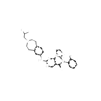 O=c1c2cnc(Nc3ccc4c(c3)CCN(CC(F)F)CC4)nc2n2ccnc2n1-c1ccccc1Cl